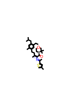 CCc1cc(CC/C(C)=C(/N=C(\C)c2cc(C)cs2)C(=O)B2CCOCC2(C)C)c(C)cc1CC(C)C